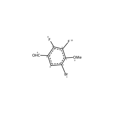 COc1c(Br)cc(C=O)c(F)c1F